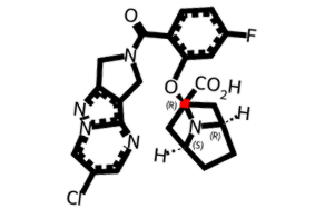 O=C(O)CN1[C@@H]2CC[C@H]1C[C@@H](Oc1cc(F)ccc1C(=O)N1Cc3nn4cc(Cl)cnc4c3C1)C2